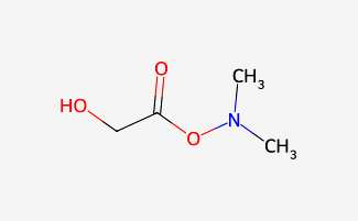 CN(C)OC(=O)CO